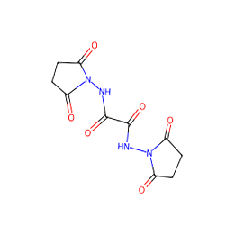 O=C(NN1C(=O)CCC1=O)C(=O)NN1C(=O)CCC1=O